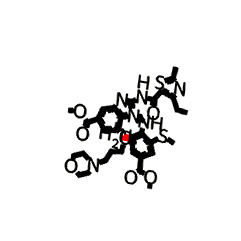 CCc1nc(C)sc1C(=O)Nc1nc2cc(C(=O)OC)cc(OCCCN3CCOCC3)c2n1Nc1c(N)cc(C(=O)OC)cc1SC